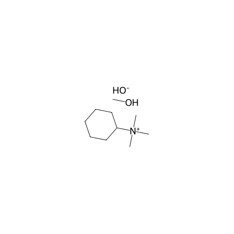 CO.C[N+](C)(C)C1CCCCC1.[OH-]